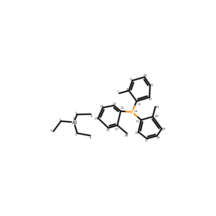 C[CH2][Al]([CH2]C)[CH2]C.Cc1ccccc1P(c1ccccc1C)c1ccccc1C